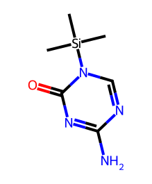 C[Si](C)(C)n1cnc(N)nc1=O